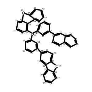 c1cc(-c2ccc3ccccc3c2)cc(N(c2cccc(-c3ccc4oc5ccccc5c4c3)c2)c2cccc3oc4ccccc4c23)c1